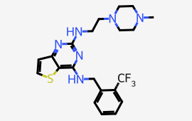 CN1CCN(CCNc2nc(NCc3ccccc3C(F)(F)F)c3sccc3n2)CC1